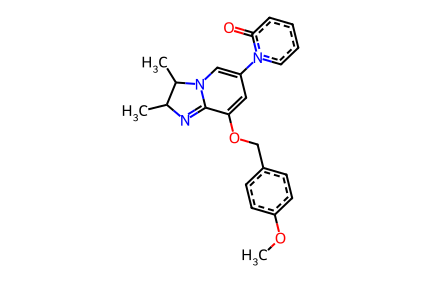 COc1ccc(COC2=CC(n3ccccc3=O)=CN3C2=NC(C)C3C)cc1